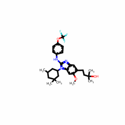 COc1cc2c(cc1CCC(C)(C)O)nc(Nc1ccc(OC(F)(F)F)cc1)n2C1CC(C)CC(C)(C)C1